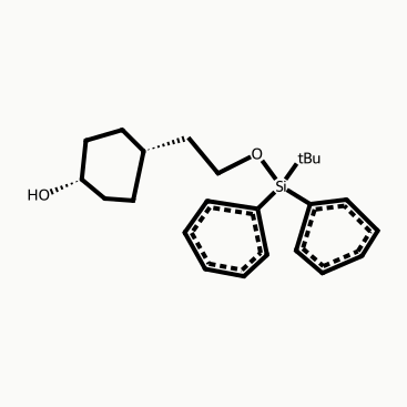 CC(C)(C)[Si](OCC[C@H]1CC[C@@H](O)CC1)(c1ccccc1)c1ccccc1